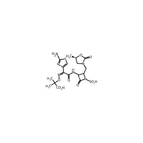 C[C@@H]1CN(CC2C(NC(=O)/C(=N\OC(C)(C)C(=O)O)c3csc(N)n3)C(=O)N2S(=O)(=O)O)C(=O)O1